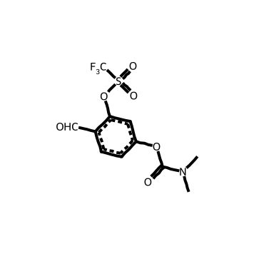 CN(C)C(=O)Oc1ccc(C=O)c(OS(=O)(=O)C(F)(F)F)c1